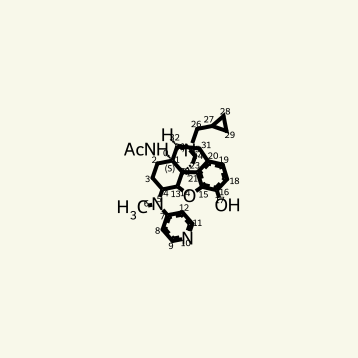 CC(=O)N[C@@]12CCC(N(C)c3ccncc3)C3Oc4c(O)ccc5c4[C@@]31CCN(CC1CC1)[C@@H]2C5